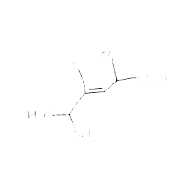 CC(N)C(F)=CC(C(=O)O)C(C)C